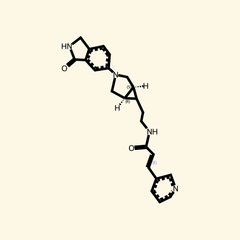 O=C(/C=C/c1cccnc1)NCCC1[C@H]2CN(c3ccc4c(c3)C(=O)NC4)C[C@@H]12